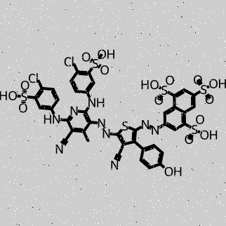 Cc1c(C#N)c(Nc2ccc(Cl)c(S(=O)(=O)O)c2)nc(Nc2ccc(Cl)c(S(=O)(=O)O)c2)c1N=Nc1sc(N=Nc2cc(S(=O)(=O)O)c3cc(S(=O)(=O)O)cc(S(=O)(=O)O)c3c2)c(-c2ccc(O)cc2)c1C#N